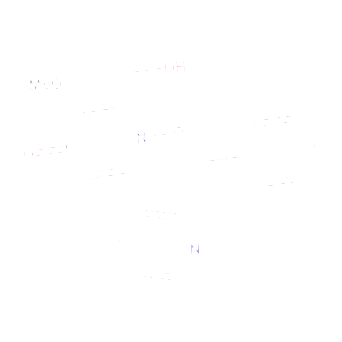 COc1c(CO)n(OCc2ccccc2)ccc1=O.c1ccncc1